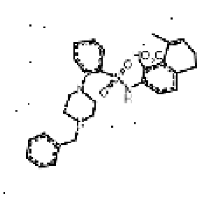 CC1=CCCc2ccc(NS(=O)(=O)c3ccccc3N3CCN(Cc4ccccc4)CC3)c(C(=O)O)c21